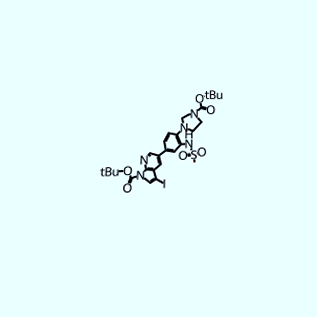 CC(C)(C)OC(=O)N1CCN(c2ccc(-c3cnc4c(c3)c(I)cn4C(=O)OC(C)(C)C)cc2NS(C)(=O)=O)CC1